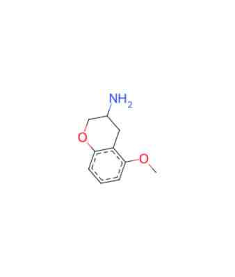 COc1cccc2c1CC(N)CO2